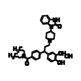 CCN(CC)C(=O)c1ccc(C(CCN2CCC(n3c(=O)[nH]c4ccccc43)CC2)c2ccc(O)c(O)c2)cc1.Cl